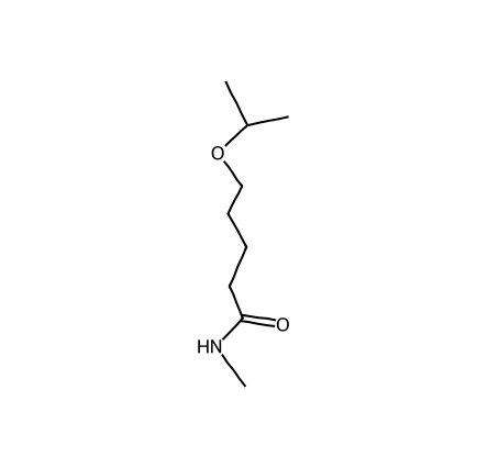 CNC(=O)CCCCOC(C)C